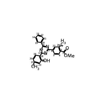 COC(=O)c1ccc(-c2nc(-c3ccccc3)nc(-c3ccc(C)cc3O)n2)cc1C